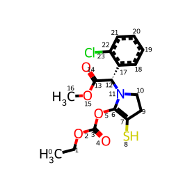 CCOC(=O)OC1=C(S)CCN1[C@H](C(=O)OC)c1ccccc1Cl